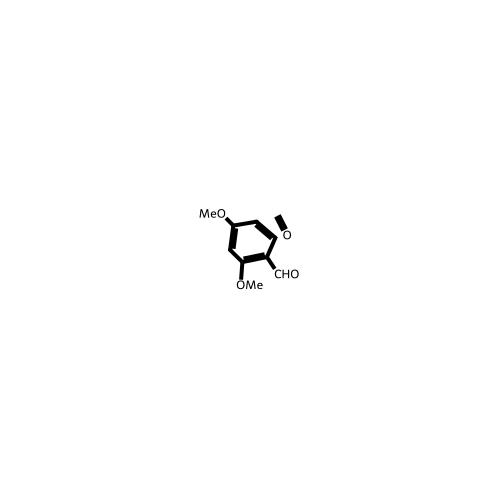 C=O.COc1ccc(C=O)c(OC)c1